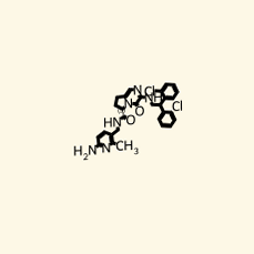 Cc1nc(N)ccc1CNC(=O)[C@@H]1CCc2cnc(NCC(c3ccccc3Cl)c3ccccc3Cl)c(=O)n21